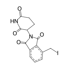 O=C1CCC(N2C(=O)c3cccc(CI)c3C2=O)C(=O)N1